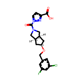 O=C(O)c1ccn(C(=O)N2C[C@H]3C[C@@H](OCc4cc(F)cc(Cl)c4)C[C@H]3C2)n1